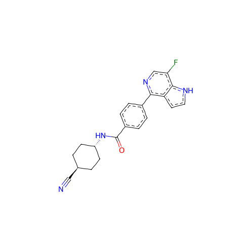 N#C[C@H]1CC[C@H](NC(=O)c2ccc(-c3ncc(F)c4[nH]ccc34)cc2)CC1